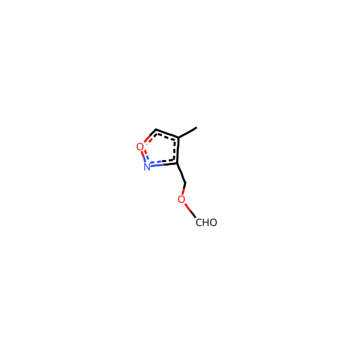 Cc1conc1COC=O